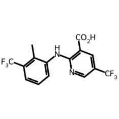 Cc1c(Nc2ncc(C(F)(F)F)cc2C(=O)O)cccc1C(F)(F)F